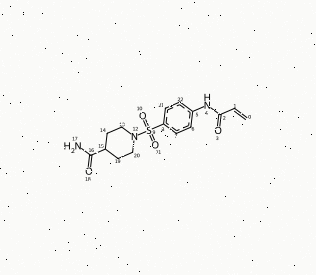 C=CC(=O)Nc1ccc(S(=O)(=O)N2CCC(C(N)=O)CC2)cc1